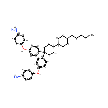 CCCCCCCCCCCCCCC1CCC(C2CCC(c3ccc(Oc4ccc(N)cc4)cc3)(c3ccc(Oc4ccc(N)cc4)cc3)CC2)CC1